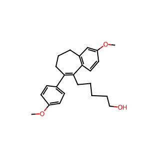 COc1ccc(C2=C(CCCCCO)c3ccc(OC)cc3CCC2)cc1